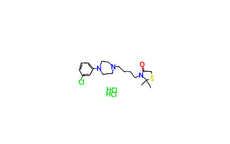 CC1(C)SCC(=O)N1CCCCN1CCN(c2cccc(Cl)c2)CC1.Cl.Cl